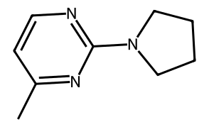 Cc1ccnc(N2CCCC2)n1